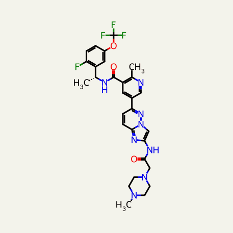 Cc1ncc(-c2ccc3nc(NC(=O)CN4CCN(C)CC4)cn3n2)cc1C(=O)N[C@H](C)c1cc(OC(F)(F)F)ccc1F